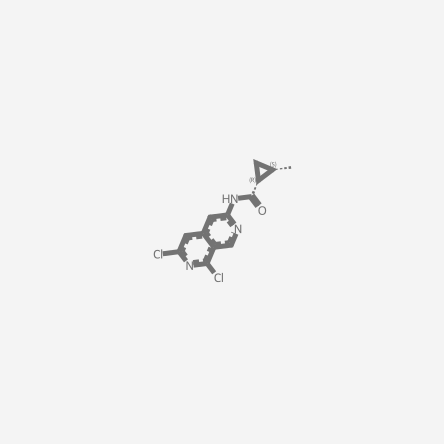 C[C@H]1C[C@H]1C(=O)Nc1cc2cc(Cl)nc(Cl)c2cn1